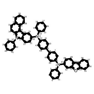 c1ccc(N(c2ccc(-c3ccc(N(c4ccccc4)c4ccc5c(c4)c4c6ccccc6ccc4n5-c4ccccc4)cc3)cc2)c2ccc3c(c2)oc2ccccc23)cc1